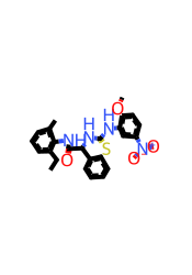 CCc1cccc(C)c1NC(=O)C(NC(=S)Nc1cc([N+](=O)[O-])ccc1OC)c1ccccc1